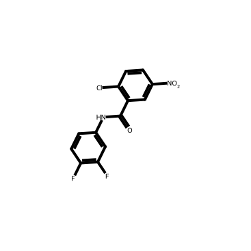 O=C(Nc1ccc(F)c(F)c1)c1cc([N+](=O)[O-])ccc1Cl